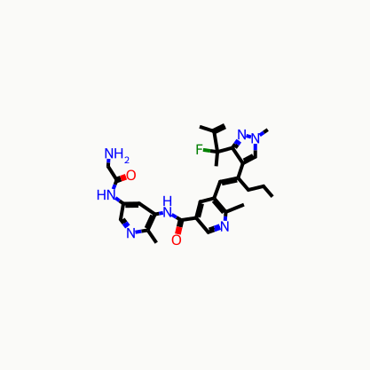 C=C(C)C(C)(F)c1nn(C)cc1/C(=C/c1cc(C(=O)Nc2cc(NC(=O)CN)cnc2C)cnc1C)CCC